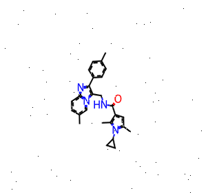 Cc1ccc(-c2nc3ccc(C)cn3c2CNC(=O)c2cc(C)n(C3CC3)c2C)cc1